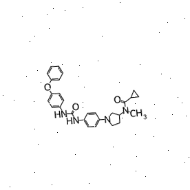 CN(C(=O)C1CC1)C1CCN(c2ccc(NC(=O)Nc3ccc(Oc4ccccc4)cc3)cc2)C1